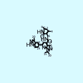 Cc1cc(C)c(CNC(=O)c2cc(-c3ccc4[nH]nc(C)c4c3)nc3c2cnn3C(C)C)c(=O)[nH]1